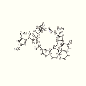 COc1nn(C)cc1C(=O)NS1(=O)=NC(=O)c2ccc3c(c2)N(C[C@@H]2CC[C@H]2[C@@H](OC)/C=C/[C@@H]2OCCC1[C@H]2C)C[C@@]1(CCCc2cc(Cl)ccc21)CC3